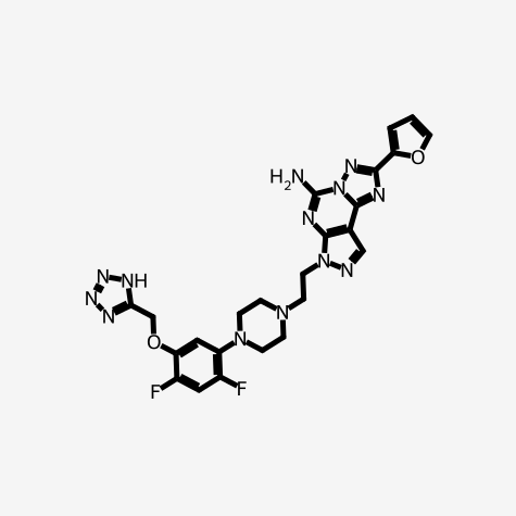 Nc1nc2c(cnn2CCN2CCN(c3cc(OCc4nnn[nH]4)c(F)cc3F)CC2)c2nc(-c3ccco3)nn12